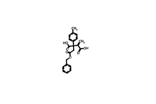 C=C(C(=O)O)C(CC(=O)OCc1ccccc1)(C(=O)O)c1ccc(C)cc1